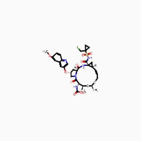 COc1ccc2ncc(O[C@@H]3C[C@H]4C(=O)N[C@]5(C(=O)NS(=O)(=O)C6(CF)CC6)C[C@H]5/C=C\CC[C@@H](C)C[C@@H](C)[C@H](NC(=O)O)C(=O)N4C3)cc2c1